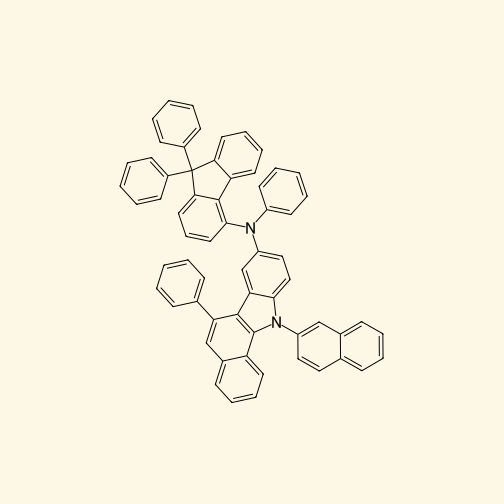 c1ccc(-c2cc3ccccc3c3c2c2cc(N(c4ccccc4)c4cccc5c4-c4ccccc4C5(c4ccccc4)c4ccccc4)ccc2n3-c2ccc3ccccc3c2)cc1